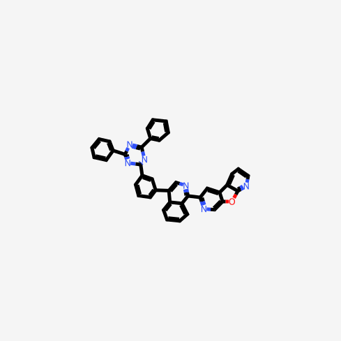 c1ccc(-c2nc(-c3ccccc3)nc(-c3cccc(-c4cnc(-c5cc6c(cn5)oc5ncccc56)c5ccccc45)c3)n2)cc1